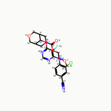 COCCOC(=O)N1CC2COCC(C1)C2Oc1ncnc(Nc2ccc(C#N)cc2Cl)c1F